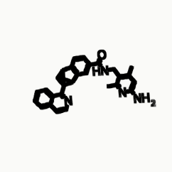 Cc1cc(N)nc(C)c1CNC(=O)c1ccc2c(c1)C1CC2C=C1c1nccc2ccccc12